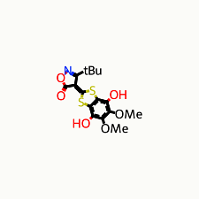 COc1c(O)c2c(c(O)c1OC)SC(=C1C(=O)ON=C1C(C)(C)C)S2